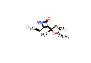 C=C[C@H]1NC(=O)[C@@H]1[C@@](C)(O[SiH](C)C)C(C)(C)C